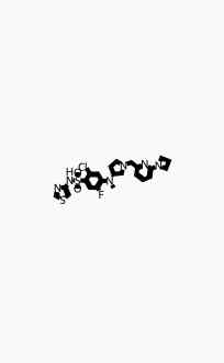 CN(c1cc(Cl)c(S(=O)(=O)Nc2cscn2)cc1F)[C@H]1CCN(Cc2cccc(N3CCC3)n2)C1